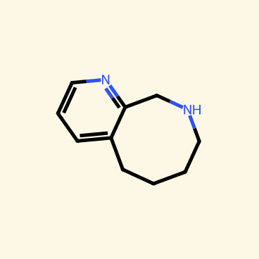 c1cnc2c(c1)CCCCNC2